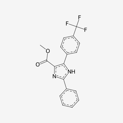 COC(=O)c1nc(-c2ccccc2)[nH]c1-c1ccc(C(F)(F)F)cc1